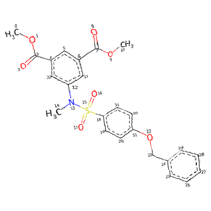 COC(=O)c1cc(C(=O)OC)cc(N(C)S(=O)(=O)c2ccc(OCc3ccccc3)cc2)c1